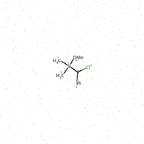 CO[Si](C)(C)C(Cl)C(C)C